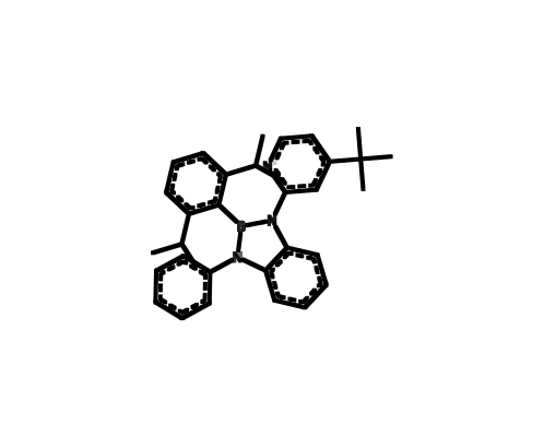 CC(C)c1cccc(C(C)C)c1B1N(c2ccccc2)c2ccccc2N1c1cc(C(C)(C)C)ccn1